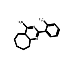 NC1=NC(c2ccccc2C(F)(F)F)=NC2CCCCCC12